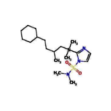 CC(CCC1CCCCC1)C[Si](C)(C)c1nccn1S(=O)(=O)N(C)C